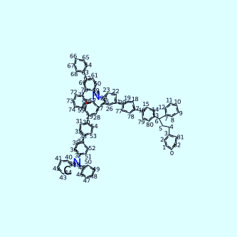 c1ccc(CCC(c2ccccc2)c2ccc(-c3ccc(-c4ccc5c(c4)c4cc(-c6ccc(-c7ccc(N(c8ccccc8)c8ccccc8)cc7)cc6)ccc4n5-c4ccc(-c5ccccc5)cc4-c4ccccc4)cc3)cc2)cc1